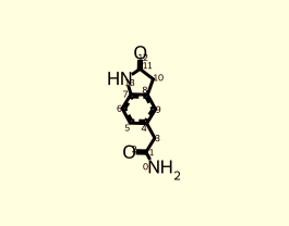 NC(=O)Cc1ccc2c(c1)CC(=O)N2